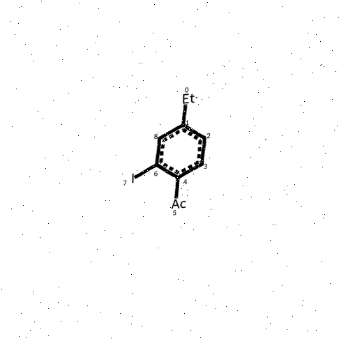 C[CH]c1ccc(C(C)=O)c(I)c1